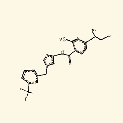 Cc1nc(C(O)CO)ccc1C(=O)Nc1cn(Cc2cccc(C(F)(F)F)c2)cn1